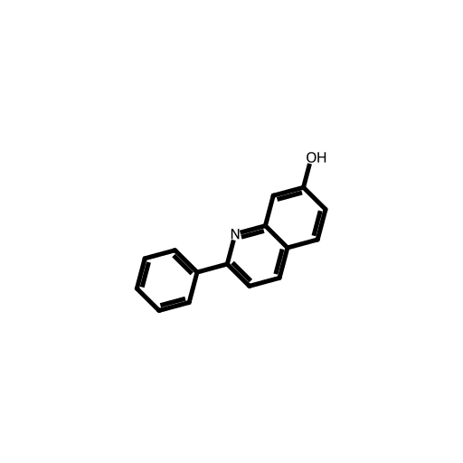 Oc1ccc2ccc(-c3ccccc3)nc2c1